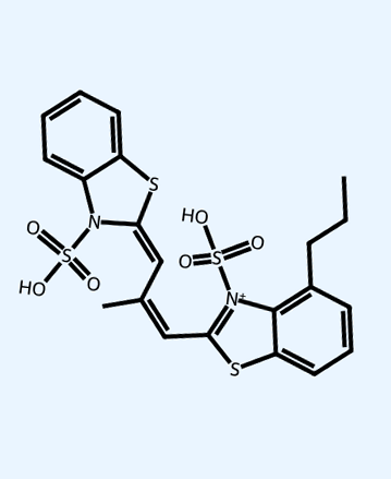 CCCc1cccc2sc(C=C(C)C=C3Sc4ccccc4N3S(=O)(=O)O)[n+](S(=O)(=O)O)c12